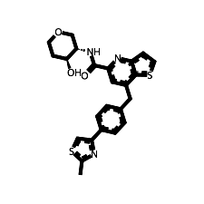 Cc1nc(-c2ccc(Cc3cc(C(=O)N[C@H]4COCC[C@@H]4O)nc4ccsc34)cc2)cs1